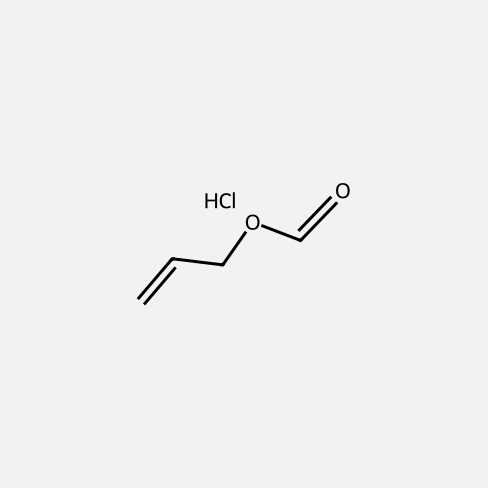 C=CCOC=O.Cl